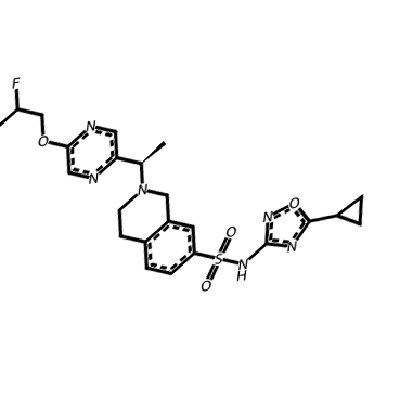 C[C@H](c1cnc(OCC(F)F)cn1)N1CCc2ccc(S(=O)(=O)Nc3noc(C4CC4)n3)cc2C1